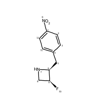 O=[N+]([O-])c1ccc(C[C@@H]2NC[C@@H]2F)cc1